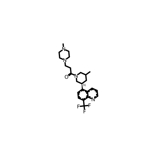 CC1C[C@@H](c2ccc(C(F)(F)F)c3ncccc23)CN(C(=O)CCN2CCN(C)CC2)C1